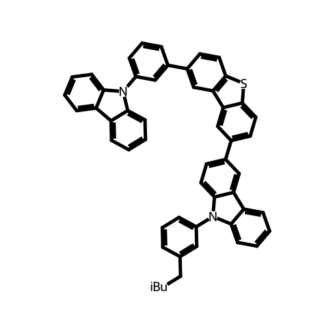 CCC(C)Cc1cccc(-n2c3ccccc3c3cc(-c4ccc5sc6ccc(-c7cccc(-n8c9ccccc9c9ccccc98)c7)cc6c5c4)ccc32)c1